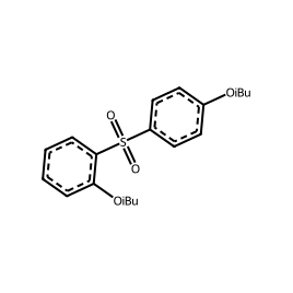 CC(C)COc1ccc(S(=O)(=O)c2ccccc2OCC(C)C)cc1